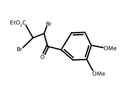 CCOC(=O)C(Br)C(Br)C(=O)c1ccc(OC)c(OC)c1